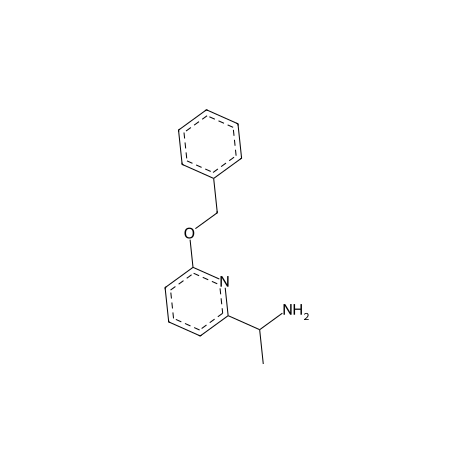 CC(N)c1cccc(OCc2ccccc2)n1